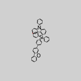 c1ccc(-n2c3ccccc3c3c([Si](c4ccccc4)(c4ccccc4)c4ccc(-c5ccc6c(c5)oc5ccccc56)cc4)cccc32)cc1